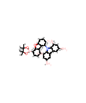 Bc1cc(B)c2c(c1)c1cc(B)cc(B)c1n2-c1cccc2oc3c(B4OC(C)(C)C(C)(C)O4)cccc3c12